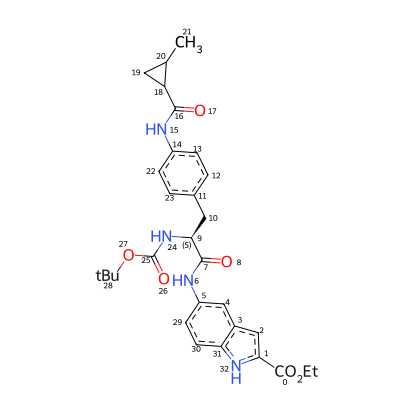 CCOC(=O)c1cc2cc(NC(=O)[C@H](Cc3ccc(NC(=O)C4CC4C)cc3)NC(=O)OC(C)(C)C)ccc2[nH]1